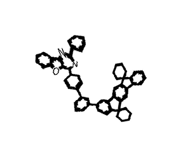 C1=CC(c2nc(-c3ccccc3)nc3c2oc2ccccc23)CC=C1c1cccc(-c2ccc3c(c2)-c2cc4c(cc2C32CCCCC2)-c2ccccc2C42CCCCC2)c1